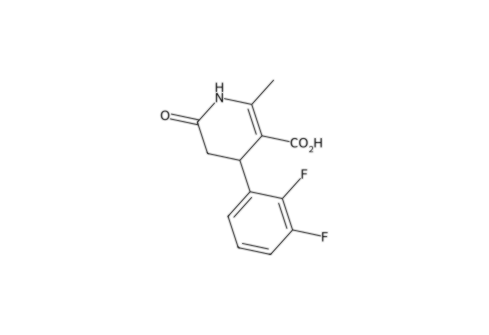 CC1=C(C(=O)O)C(c2cccc(F)c2F)CC(=O)N1